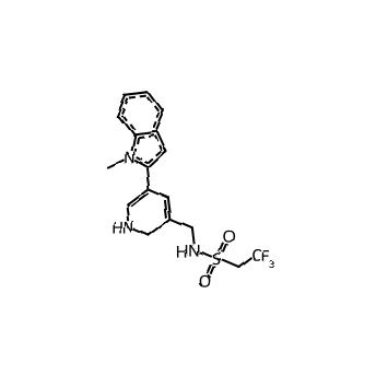 Cn1c(C2=CNCC(CNS(=O)(=O)CC(F)(F)F)=C2)cc2ccccc21